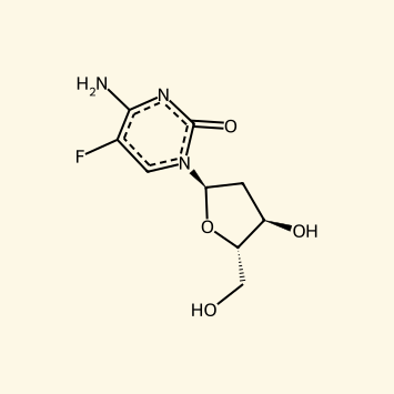 Nc1nc(=O)n([C@H]2C[C@@H](O)[C@H](CO)O2)cc1F